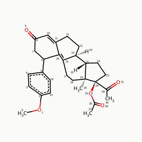 COc1ccc(C2CC(=O)C=C3CC[C@@H]4C(=C32)CC[C@@]2(C)[C@H]4CC[C@]2(OC(C)=O)C(C)=O)cc1